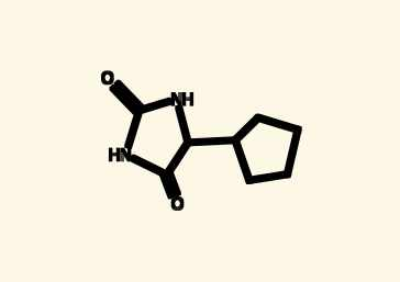 O=C1NC(=O)C(C2CCCC2)N1